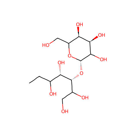 CCC(O)[C@H](O)[C@H](O[C@@H]1OC(CO)[C@@H](O)[C@@H](O)C1O)C(O)CO